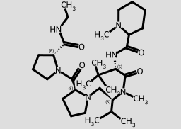 CCNC(=O)[C@H]1CCCN1C(=O)[C@@H]1CCCN1C[C@H](C(C)C)N(C)C(=O)[C@@H](NC(=O)C1CCCCN1C)C(C)(C)C